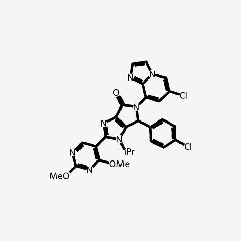 COc1ncc(-c2nc3c(n2C(C)C)C(c2ccc(Cl)cc2)N(c2cc(Cl)cn4ccnc24)C3=O)c(OC)n1